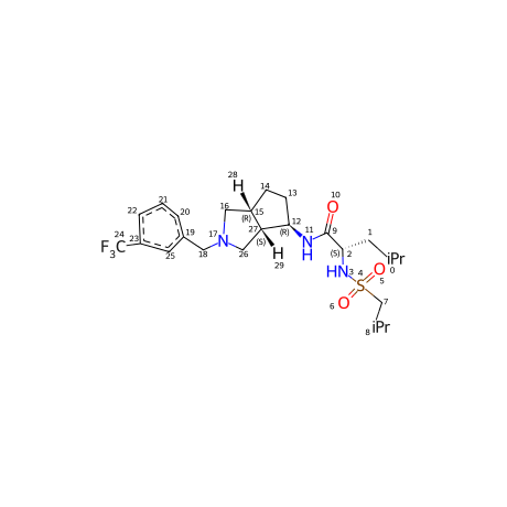 CC(C)C[C@H](NS(=O)(=O)CC(C)C)C(=O)N[C@@H]1CC[C@H]2CN(Cc3cccc(C(F)(F)F)c3)C[C@H]21